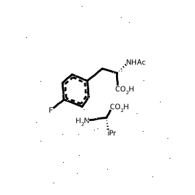 CC(=O)N[C@@H](Cc1ccc(F)cc1)C(=O)O.CC(C)[C@H](N)C(=O)O